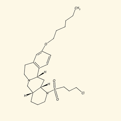 CCCCCCOc1ccc2c(c1)CCN1C[C@H]3CCCN(S(=O)(=O)CCCCl)[C@H]3C[C@@H]21